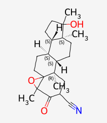 CC12OC13CC[C@H]1[C@@H]4CCC(C)(O)[C@@]4(C)CC[C@@H]1[C@@]3(C)CC(C#N)C2=O